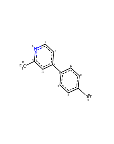 CCCc1ccc(-c2ccnc(C(F)(F)F)c2)cc1